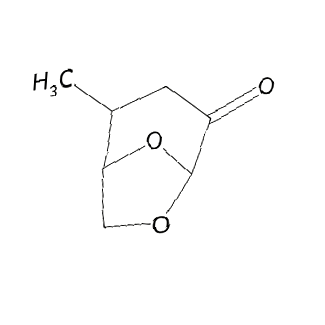 CC1CC(=O)C2OCC1O2